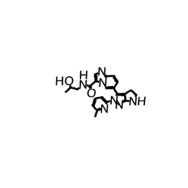 Cc1cccc(-n2nc3c(c2-c2ccc4ncc(C(=O)NCC(C)O)n4c2)CCN3)n1